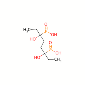 CCC(O)(CCC(O)(CC)[PH](=O)O)[PH](=O)O